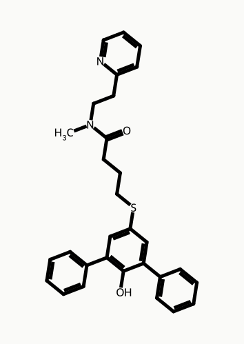 CN(CCc1ccccn1)C(=O)CCCSc1cc(-c2ccccc2)c(O)c(-c2ccccc2)c1